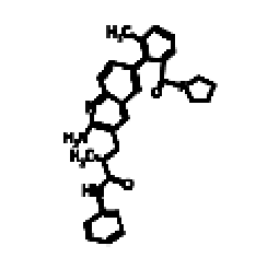 Cc1cccc(C(=O)N2CCCC2)c1-c1ccc2nc(N)c(CC(C)C(=O)Nc3ccccc3)cc2c1